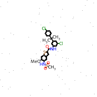 COc1cc2sc(C(=O)Nc3cc(Cl)cc(C(C)(C)c4ccc(Cl)cc4)c3)cc2cc1NS(C)(=O)=O